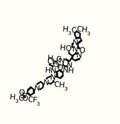 C=CC(=O)Nc1cc(Nc2nc(-c3ccnc(N4CCn5c(cc6c5CC(C)(C)C6)C4=O)c3CO)cn(C)c2=O)ccc1N1CCN(C2CCN(c3ccc(S(C)(=O)=O)c(C(F)(F)F)c3)CC2)C[C@@H]1C